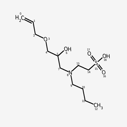 C=CCOCC(O)CN(CCCC)CCS(=O)(=O)O